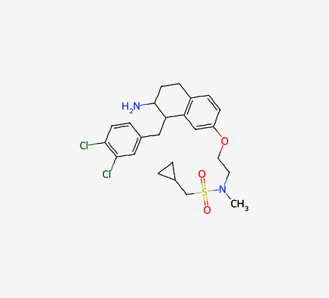 CN(CCOc1ccc2c(c1)C(Cc1ccc(Cl)c(Cl)c1)C(N)CC2)S(=O)(=O)CC1CC1